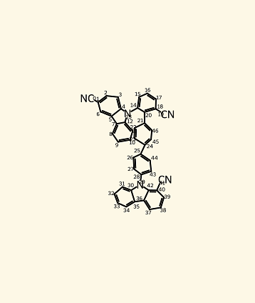 N#Cc1ccc2c(c1)c1ccccc1n2-c1cccc(C#N)c1-c1ccc(-c2ccc(-n3c4ccccc4c4cccc(C#N)c43)cc2)cc1